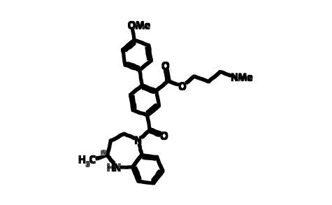 CNCCCOC(=O)c1cc(C(=O)N2CC[C@H](C)Nc3ccccc32)ccc1-c1ccc(OC)cc1